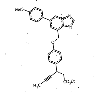 CC#CC(CC(=O)OCC)c1ccc(OCc2cc(-c3ccc(SC)cc3)cn3ncnc23)cc1